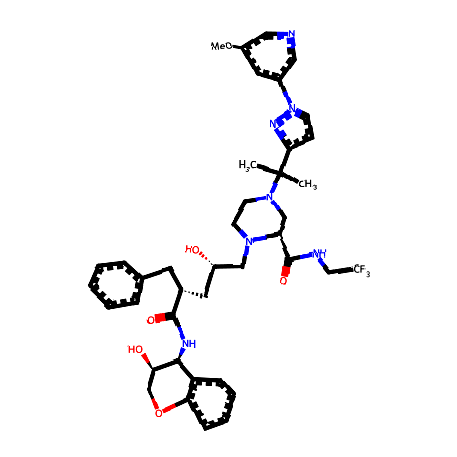 COc1cncc(-n2ccc(C(C)(C)N3CCN(C[C@@H](O)C[C@@H](Cc4ccccc4)C(=O)N[C@H]4c5ccccc5OC[C@H]4O)[C@H](C(=O)NCC(F)(F)F)C3)n2)c1